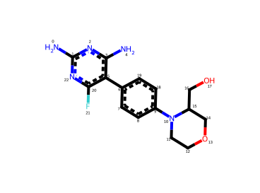 Nc1nc(N)c(-c2ccc(N3CCOCC3CO)cc2)c(F)n1